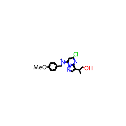 COc1ccc(CN(C)c2cc(Cl)nc3c(C(C)CO)cnn23)cc1